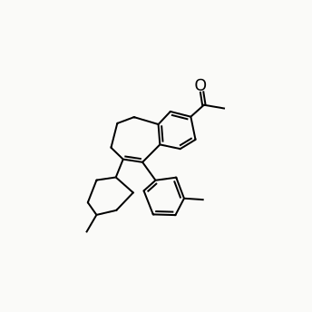 CC(=O)c1ccc2c(c1)CCCC(C1CCC(C)CC1)=C2c1cccc(C)c1